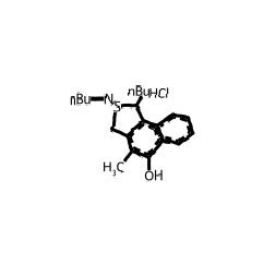 CCCCN=S1Cc2c(C)c(O)c3ccccc3c2C1CCCC.Cl